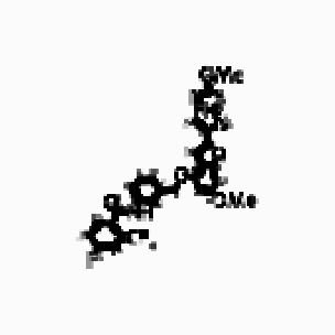 COc1cc(OCc2cccc(NC(=O)c3ccc(F)cc3C(F)(F)F)c2)c2cc(-c3cn4nc(OC)sc4n3)oc2c1